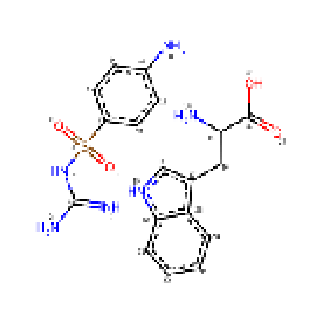 N=C(N)NS(=O)(=O)c1ccc(N)cc1.NC(Cc1c[nH]c2ccccc12)C(=O)O